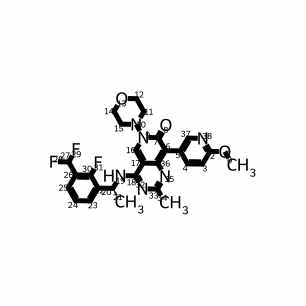 COc1ccc(-c2c(=O)n(N3CCOCC3)cc3c(N[C@H](C)c4cccc(C(F)F)c4F)nc(C)nc23)cn1